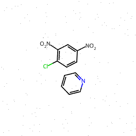 O=[N+]([O-])c1ccc(Cl)c([N+](=O)[O-])c1.c1ccncc1